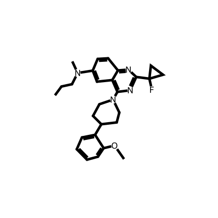 CCCN(C)c1ccc2nc(C3(F)CC3)nc(N3CCC(c4ccccc4OC)CC3)c2c1